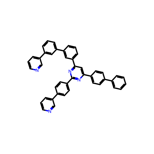 c1ccc(-c2ccc(-c3cc(-c4cccc(-c5cccc(-c6cccnc6)c5)c4)nc(-c4ccc(-c5cccnc5)cc4)n3)cc2)cc1